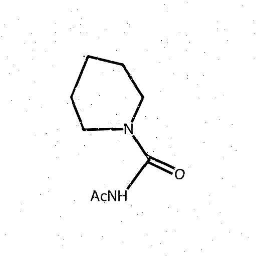 CC(=O)NC(=O)N1CC[CH]CC1